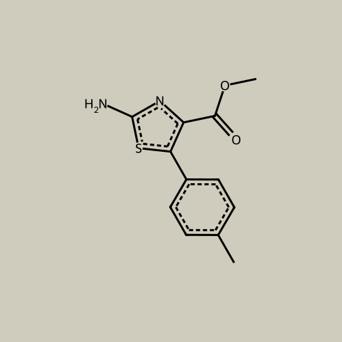 COC(=O)c1nc(N)sc1-c1ccc(C)cc1